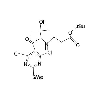 CSc1nc(Cl)c(C(=O)C(NCCC(=O)OC(C)(C)C)C(C)(C)O)c(Cl)n1